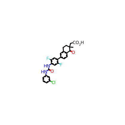 CC1(CC(=O)O)CCc2cc(-c3cc(F)c(NC(=O)Nc4cccc(Cl)c4)cc3F)ccc2C1=O